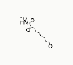 CONC(=O)C(=O)CCCCCCC=O